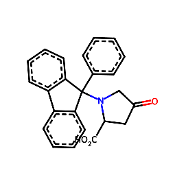 O=C1CC(C(=O)O)N(C2(c3ccccc3)c3ccccc3-c3ccccc32)C1